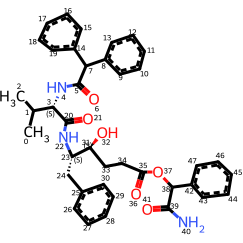 CC(C)[C@H](NC(=O)C(c1ccccc1)c1ccccc1)C(=O)N[C@@H](Cc1ccccc1)[C@@H](O)CCC(=O)OC(C(N)=O)c1ccccc1